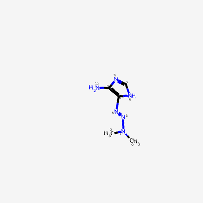 CN(C)N=Nc1[nH]cnc1N